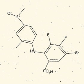 Cc1cc([S+](C)[O-])ccc1Nc1c(C(=O)O)cc(Br)c(F)c1F